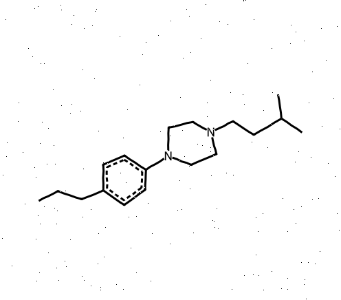 CCCc1ccc(N2CCN(CCC(C)C)CC2)cc1